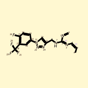 C=N/C(=N\C=C/C)NCc1cn(-c2ccc(F)c(C(F)(F)F)c2)nn1